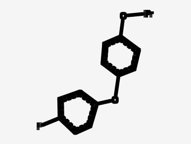 CC(C)Oc1ccc(Oc2ccc(F)cc2)cc1